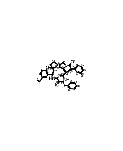 CCc1ccc2c(c1)[C@@H](NC[C@@H](O)[C@H](Cc1ccccc1)NC(=O)c1cc(-c3cccc(F)c3)c(=O)n3c1CCC3)CC1(CCCC1)O2